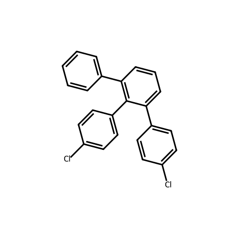 Clc1ccc(-c2cccc(-c3ccccc3)c2-c2ccc(Cl)cc2)cc1